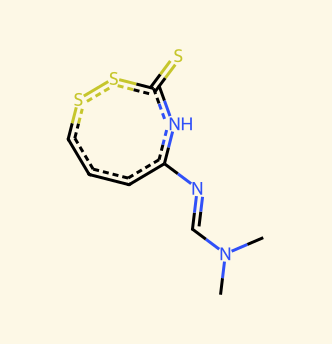 CN(C)C=Nc1cccssc(=S)[nH]1